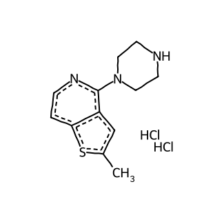 Cc1cc2c(N3CCNCC3)nccc2s1.Cl.Cl